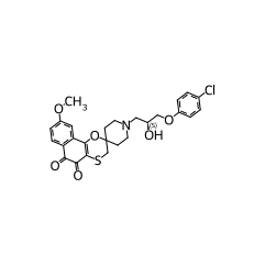 COc1ccc2c(c1)C1=C(SCC3(CCN(C[C@H](O)COc4ccc(Cl)cc4)CC3)O1)C(=O)C2=O